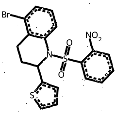 O=[N+]([O-])c1ccccc1S(=O)(=O)N1c2cccc(Br)c2CCC1c1cccs1